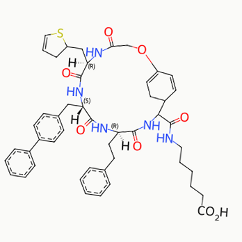 O=C(O)CCCCCNC(=O)C1NC(=O)[C@@H](CCc2ccccc2)NC(=O)[C@H](Cc2ccc(-c3ccccc3)cc2)NC(=O)[C@@H](CC2CC=CS2)NC(=O)COC2=CCC1C=C2